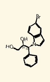 OC[C@@H](O)[C@H](c1ccccc1)n1ccc2cc(Br)ccc21